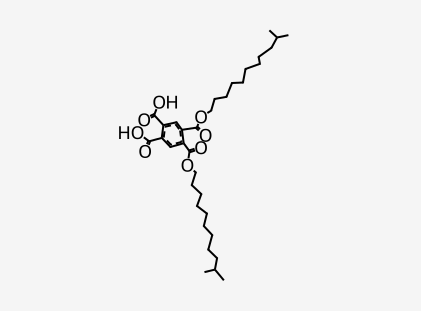 CC(C)CCCCCCCCCOC(=O)c1cc(C(=O)O)c(C(=O)O)cc1C(=O)OCCCCCCCCCC(C)C